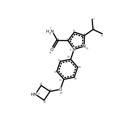 CC(C)c1cc(C(N)=O)n(-c2ccc(OC3CNC3)cc2)n1